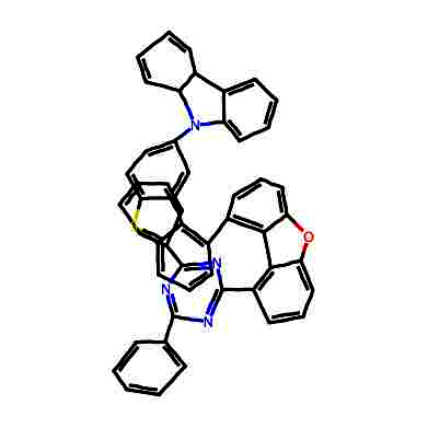 C1=CC2c3ccccc3N(c3ccc4sc5cccc(-c6cccc7oc8cccc(-c9nc(-c%10ccccc%10)nc(-c%10ccccc%10)n9)c8c67)c5c4c3)C2C=C1